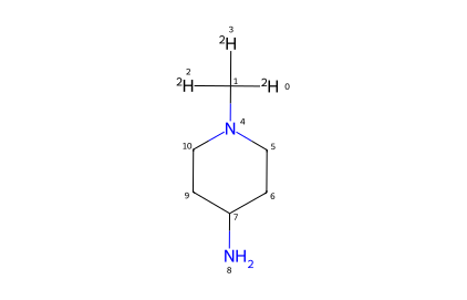 [2H]C([2H])([2H])N1CCC(N)CC1